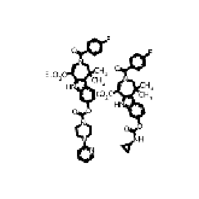 CCOC(=O)C1=CN(C(=O)c2ccc(F)cc2)CC(C)(C)c2c1[nH]c1cc(OC(=O)N3CCN(c4ccccn4)CC3)ccc21.CCOC(=O)C1=CN(C(=O)c2ccc(F)cc2)CC(C)(C)c2c1[nH]c1cc(OC(=O)NC3CC3)ccc21